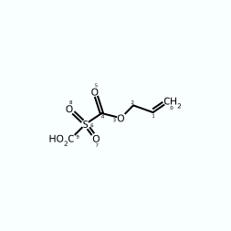 C=CCOC(=O)S(=O)(=O)C(=O)O